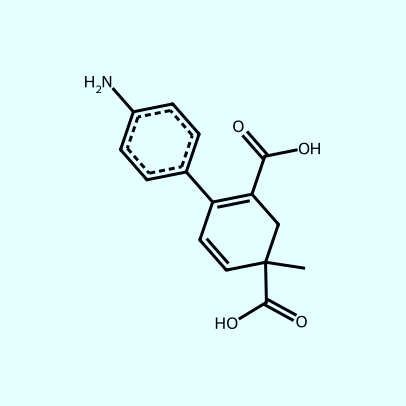 CC1(C(=O)O)C=CC(c2ccc(N)cc2)=C(C(=O)O)C1